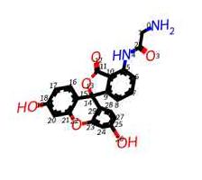 NCC(=O)Nc1cccc2c1C(=O)OC21c2ccc(O)cc2Oc2cc(O)ccc21